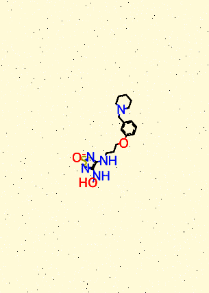 [O-][s+]1nc(NO)c(NCCCOc2cccc(CN3CCCCC3)c2)n1